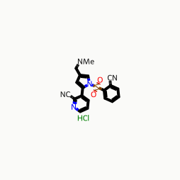 CNCc1cc(-c2cccnc2C#N)n(S(=O)(=O)c2ccccc2C#N)c1.Cl